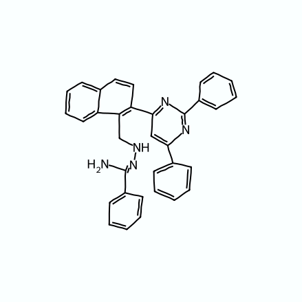 N/C(=N\NCc1c(-c2cc(-c3ccccc3)nc(-c3ccccc3)n2)ccc2ccccc12)c1ccccc1